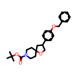 CC(C)(C)OC(=O)N1CCC2(CC1)CC(c1ccc(OCc3ccccc3)cc1)CO2